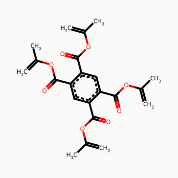 C=C(C)OC(=O)c1cc(C(=O)OC(=C)C)c(C(=O)OC(=C)C)cc1C(=O)OC(=C)C